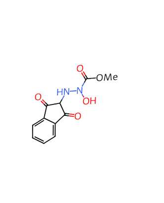 COC(=O)N(O)NC1C(=O)c2ccccc2C1=O